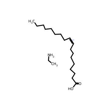 CCCCCCCC/C=C\CCCCCCCC(=O)O.CCN